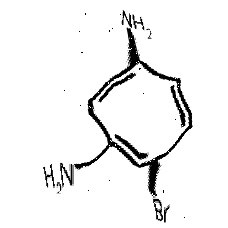 Nc1ccc(Br)c(N)c1